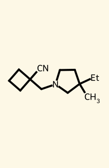 CCC1(C)CCN(CC2(C#N)CCC2)C1